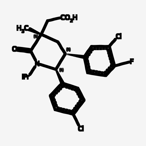 CC(C)N1C(=O)[C@](C)(CC(=O)O)C[C@H](c2ccc(F)c(Cl)c2)[C@H]1c1ccc(Cl)cc1